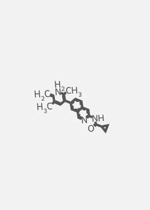 C=C/C(C)=C\C(=C(\C)N)c1ccc2cc(NC(=O)C3CC3)ncc2c1